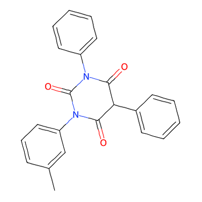 Cc1cccc(N2C(=O)C(c3ccccc3)C(=O)N(c3ccccc3)C2=O)c1